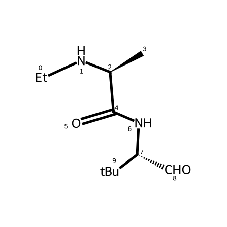 CCN[C@@H](C)C(=O)N[C@H](C=O)C(C)(C)C